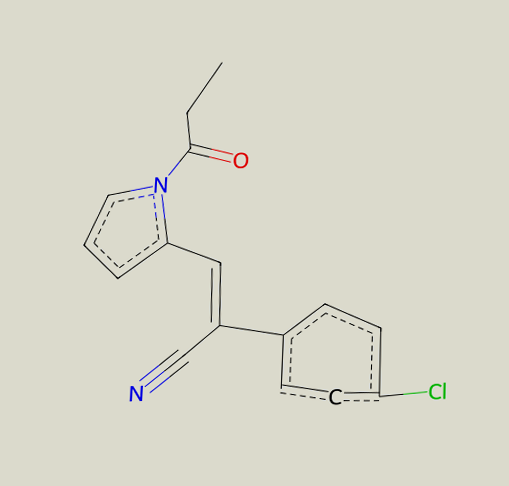 CCC(=O)n1cccc1/C=C(\C#N)c1ccc(Cl)cc1